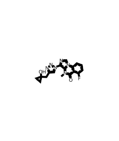 Cn1c(=O)c2c(F)cccc2n2cnc(-n3cc(CC4(O)CC4)nn3)c12